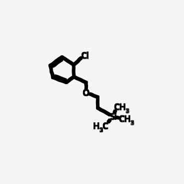 C[Si](C)(C)CCOCC1C=CC=CC1Cl